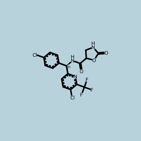 O=C1NCC(C(=O)N[C@H](c2ccc(Cl)cc2)c2ccc(Cl)c(C(F)(F)F)n2)O1